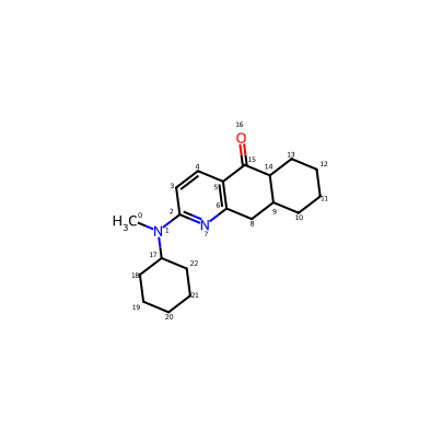 CN(c1ccc2c(n1)CC1CCCCC1C2=O)C1CCCCC1